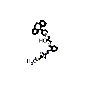 COCc1nc(/C=C/c2ccccc2OCC(O)CN2CCC(=C3c4ccccc4CCc4ccccc43)CC2)cs1